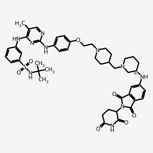 Cc1cnc(Nc2ccc(OCCN3CCC(CN4CCC[C@@H](Nc5ccc6c(c5)C(=O)N(C5CCC(=O)NC5=O)C6=O)C4)CC3)cc2)nc1Nc1cccc(S(=O)(=O)NC(C)(C)C)c1